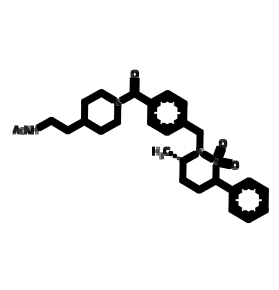 CC(=O)NCCC1CCN(C(=O)c2ccc(CN3[C@@H](C)CCC(c4ccccc4)S3(=O)=O)cc2)CC1